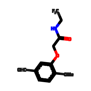 COc1ccc(C=O)cc1OCC(=O)NCC(F)(F)F